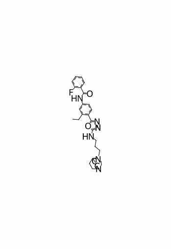 CCc1cc(NC(=O)c2ccccc2F)ccc1-c1nnc(NCCCN2CCN3CCC2CC3)o1